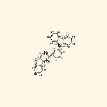 c1cc(-c2ncc3sc4ccccc4c3n2)cc(-n2c3ccccc3c3ccccc32)c1